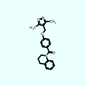 Cc1noc(C)c1COc1ccc(C(=O)N2CCCc3ccccc32)cc1